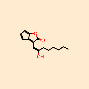 CCCCCC/C(O)=C\C1=C2C=CC=C2OC1=O